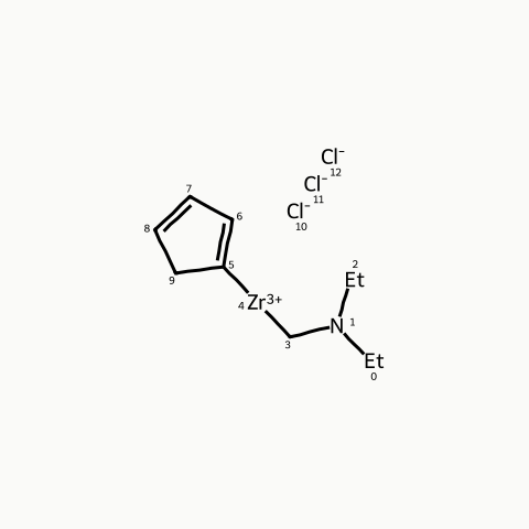 CCN(CC)[CH2][Zr+3][C]1=CC=CC1.[Cl-].[Cl-].[Cl-]